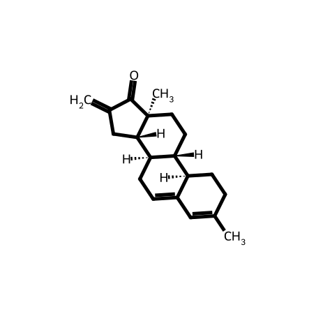 C=C1C[C@H]2[C@@H]3CC=C4C=C(C)CC[C@@H]4[C@H]3CC[C@]2(C)C1=O